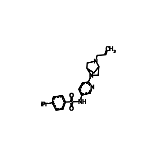 C=CCN1CC2CC1CN2c1ccc(NS(=O)(=O)c2ccc(C(C)C)cc2)cn1